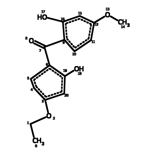 CCOc1ccc(C(=O)c2ccc(OC)cc2O)c(O)c1